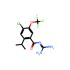 CC(C)c1cc(Cl)c(OC(F)(F)F)cc1C(=O)N=C(N)N